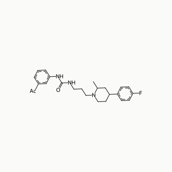 CC(=O)c1cccc(NC(=O)NCCCN2CCC(c3ccc(F)cc3)CC2C)c1